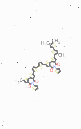 Cc1cc2c(=O)n(-c3cccs3)c(=O)c3cc(-c4ccc(-c5ccc(-c6cc7c(=O)n(-c8cccs8)c(=O)c8cc(-c9sc(-c%10cc(C)c(C)s%10)cc9C)sc8c7s6)s5)s4)sc3c2s1